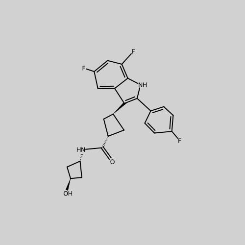 O=C(N[C@H]1C[C@H](O)C1)[C@H]1C[C@H](c2c(-c3ccc(F)cc3)[nH]c3c(F)cc(F)cc32)C1